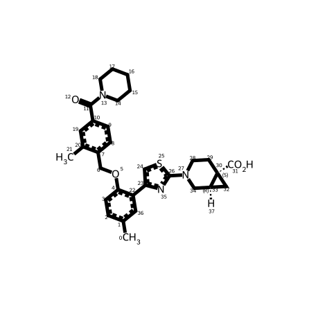 Cc1ccc(OCc2ccc(C(=O)N3CCCCC3)cc2C)c(-c2csc(N3CC[C@@]4(C(=O)O)C[C@H]4C3)n2)c1